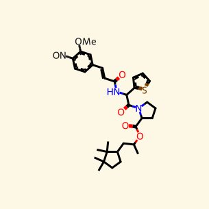 COc1cc(/C=C/C(=O)NC(C(=O)N2CCCC2C(=O)OC(C)CC2CCC(C)(C)C2(C)C)c2cccs2)ccc1N=O